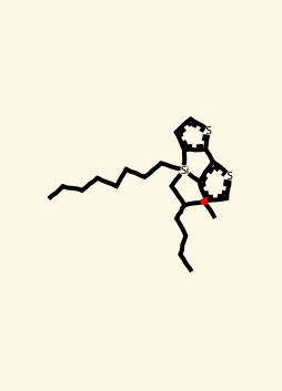 CCCCCCCC[Si]1(CC(CC)CCCC)c2ccsc2-c2sccc21